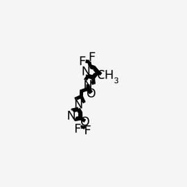 Cc1cc(C(F)F)nc2c1CN(C(=O)CC1CN(c3cncc(OC(F)F)c3)C1)C2